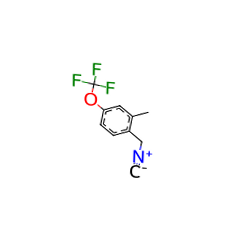 [C-]#[N+]Cc1ccc(OC(F)(F)F)cc1C